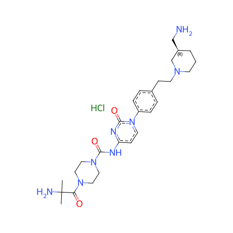 CC(C)(N)C(=O)N1CCN(C(=O)Nc2ccn(-c3ccc(CCN4CCC[C@H](CN)C4)cc3)c(=O)n2)CC1.Cl